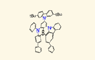 CC(C)(C)c1ccc2c3ccc(C(C)(C)C)cc3n(-c3cc4c5c(c3)-n3c6c(c7cc(-c8ccccc8)cc(c73)B5c3cc(-c5ccccc5)ccc3N4c3ccccc3)CCC=C6)c2c1